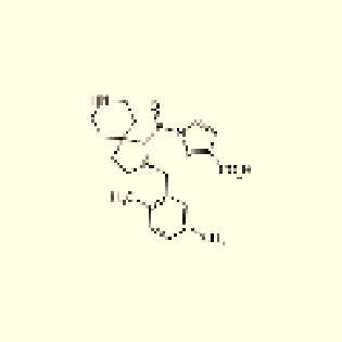 Cc1ccc(C)c(CN2CCC3(CCNCC3)C2C(=O)n2ccc(C(=O)O)n2)c1